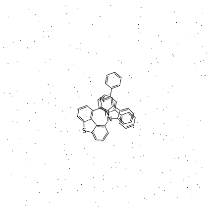 c1ccc(-c2cc(-c3ccccc3)nc(-c3cccc4sc5cccc(-n6c7ccccc7c7ccccc76)c5c34)n2)cc1